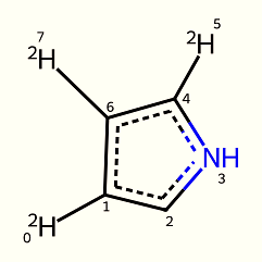 [2H]c1c[nH]c([2H])c1[2H]